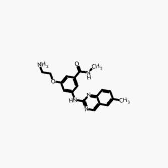 CNC(=O)c1cc(Nc2ncc3cc(C)ccc3n2)cc(OCCN)c1